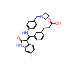 O=C(O)CCc1cccc(/C(Nc2ccc(CN3CCC3)cc2)=C2/C(=O)Nc3cc(F)ccc32)c1